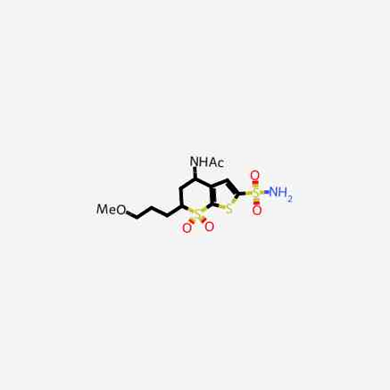 COCCCC1CC(NC(C)=O)c2cc(S(N)(=O)=O)sc2S1(=O)=O